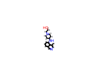 Cc1cncc2cccc(NC3CCN(CCO)CC3)c12